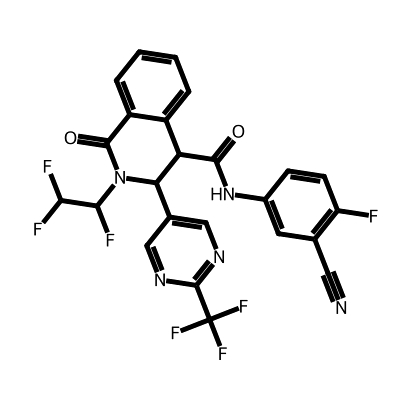 N#Cc1cc(NC(=O)C2c3ccccc3C(=O)N(C(F)C(F)F)C2c2cnc(C(F)(F)F)nc2)ccc1F